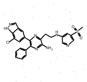 CS(=O)(=O)c1cncc(NCCc2nc(-c3cc(Cl)c4[nH]ncc4c3)c(-c3ccccc3)nc2N)c1